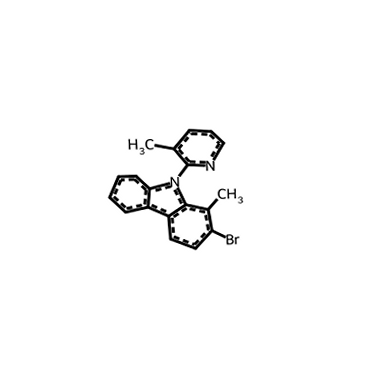 Cc1cccnc1-n1c2ccccc2c2ccc(Br)c(C)c21